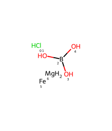 Cl.OB(O)O.[Fe].[MgH2]